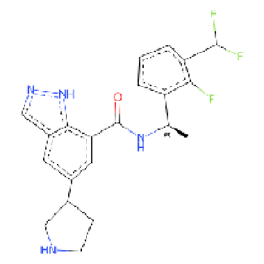 C[C@@H](NC(=O)c1cc(C2CCNC2)cc2cn[nH]c12)c1cccc(C(F)F)c1F